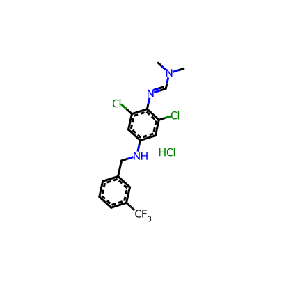 CN(C)C=Nc1c(Cl)cc(NCc2cccc(C(F)(F)F)c2)cc1Cl.Cl